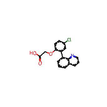 O=C(O)COc1ccc(Cl)cc1-c1cccc2cccnc12